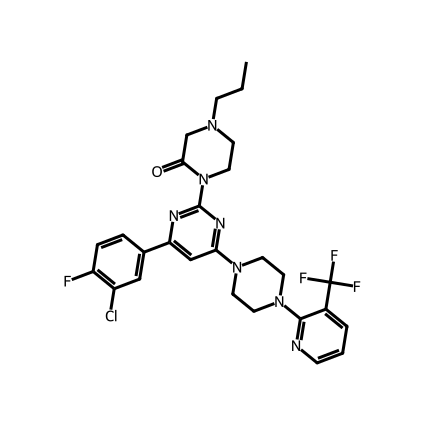 CCCN1CCN(c2nc(-c3ccc(F)c(Cl)c3)cc(N3CCN(c4ncccc4C(F)(F)F)CC3)n2)C(=O)C1